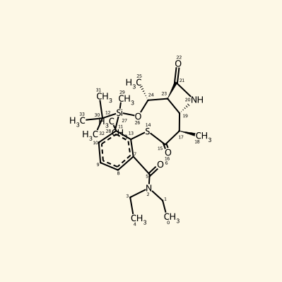 CCN(CC)C(=O)c1cccc(C)c1SC(=O)[C@H](C)[C@H]1NC(=O)[C@@H]1[C@@H](C)O[Si](C)(C)C(C)(C)C